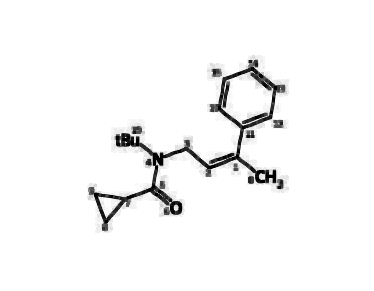 C/C(=C/CN(C(=O)C1CC1)C(C)(C)C)c1ccccc1